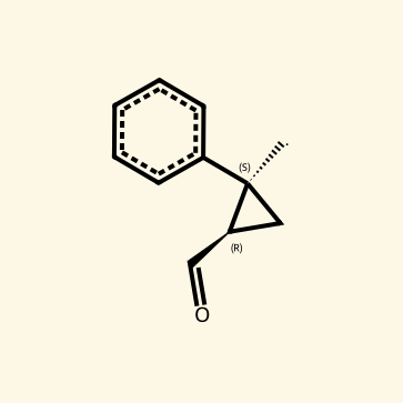 [CH2][C@]1(c2ccccc2)C[C@H]1C=O